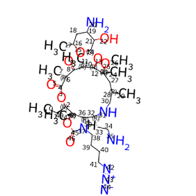 CC[C@H]1OC(=O)[C@H](C)C(=O)[C@H](C)[C@@H](O[C@@H]2OC(C)CC(N)C2O)[C@](C)(OC)C[C@@H](C)CN[C@H](CCN)[C@H]2N(CCCCN=[N+]=[N-])C(=O)O[C@]12C